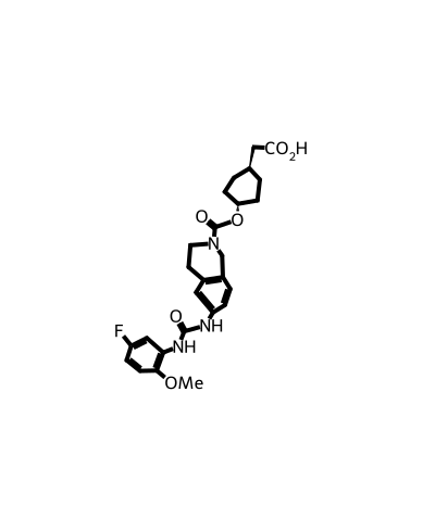 COc1ccc(F)cc1NC(=O)Nc1ccc2c(c1)CCN(C(=O)O[C@H]1CC[C@H](CC(=O)O)CC1)C2